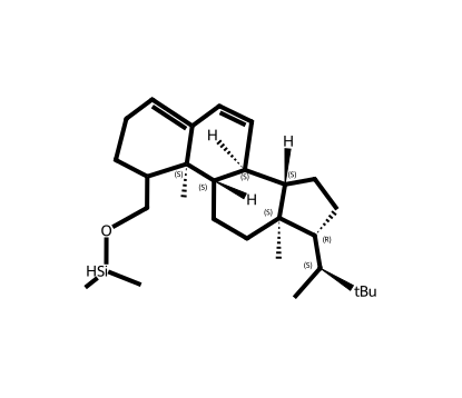 C[C@@H]([C@H]1CC[C@H]2[C@@H]3C=CC4=CCCC(CO[SiH](C)C)[C@]4(C)[C@H]3CC[C@]12C)C(C)(C)C